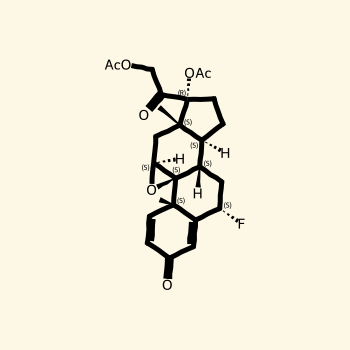 CC(=O)OCC(=O)[C@@]1(OC(C)=O)CC[C@H]2[C@@H]3C[C@H](F)C4=CC(=O)C=C[C@]4(C)[C@@]34O[C@H]4C[C@@]21C